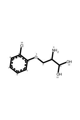 NC(COc1ccccc1Cl)C(O)O